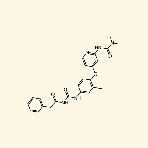 CN(C)C(=O)Nc1cc(Oc2ccc(NC(=O)NC(=O)Cc3ccccc3)cc2F)ccn1